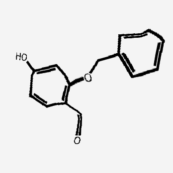 O=Cc1ccc(O)cc1OCc1ccccc1